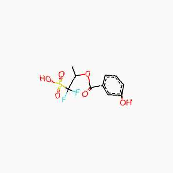 CC(OC(=O)c1cccc(O)c1)C(F)(F)S(=O)(=O)O